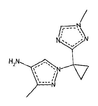 Cc1nn(C2(c3ncn(C)n3)CC2)cc1N